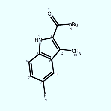 CCCCC(=O)c1[nH]c2ccc(F)cc2c1C